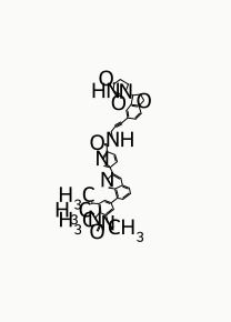 CC(C)c1cc(-c2cccc3cc(-c4ccc(C(=O)NCC#Cc5ccc6c(c5)C(N5CCC(=O)NC5=O)CO6)nc4)ncc23)cc2c1n(C)c(=O)n2C